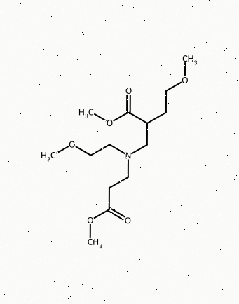 COCCC(CN(CCOC)CCC(=O)OC)C(=O)OC